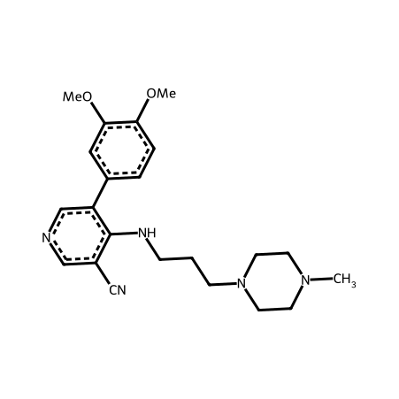 COc1ccc(-c2cncc(C#N)c2NCCCN2CCN(C)CC2)cc1OC